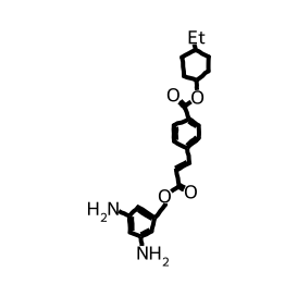 CCC1CCC(OC(=O)c2ccc(/C=C/C(=O)OCc3cc(N)cc(N)c3)cc2)CC1